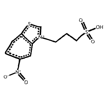 O=[N+]([O-])c1ccc2sc[n+](CCCS(=O)(=O)O)c2c1